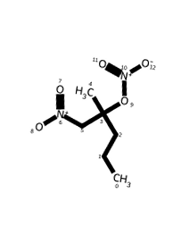 CCCC(C)(C[N+](=O)[O-])O[N+](=O)[O-]